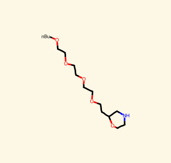 CCCCOCCOCCOCCOCCC1CNCCO1